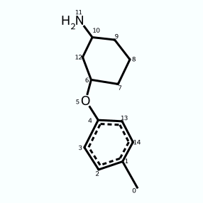 Cc1ccc(OC2CCCC(N)C2)cc1